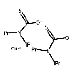 CC(C)N(C([O-])=S)C(C)C.CC(C)N(C([O-])=S)C(C)C.[Cu+2]